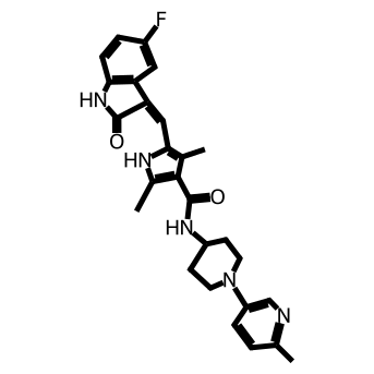 Cc1ccc(N2CCC(NC(=O)c3c(C)[nH]c(/C=C4\C(=O)Nc5ccc(F)cc54)c3C)CC2)cn1